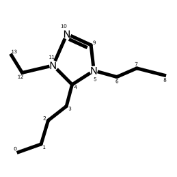 CCCCC1N(CCC)C=NN1CC